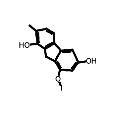 Cc1ccc2c(c1O)Cc1c(OI)cc(O)cc1-2